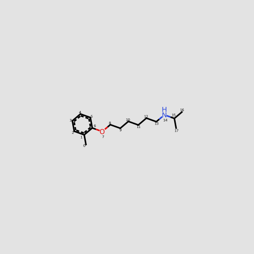 Cc1ccccc1OCCCCCCNC(C)C